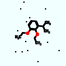 CCOc1cccc(C(C)C)c1OCC